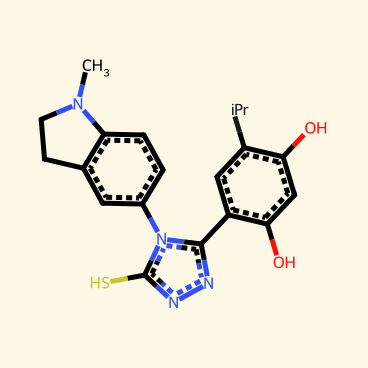 CC(C)c1cc(-c2nnc(S)n2-c2ccc3c(c2)CCN3C)c(O)cc1O